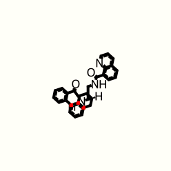 O=C(NCC1[C@H]2CC[C@@H](CC2)N1C(=O)c1ccccc1-c1ccccc1)c1cccc2cccnc12